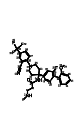 CNCCC(=O)NC1(c2cnc(-c3ccccc3OC)c(F)c2)CCN(c2ccc(C(F)(F)F)cc2C#N)CC1